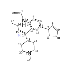 C=CNc1ccc(C2C=CC=C2)cc1/C(=C\CC)C1CCN(C)CC1